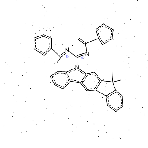 C=C(/N=C(\N=C(/C)c1ccccc1)n1c2ccccc2c2cc3c(cc21)C(C)(C)c1ccccc1-3)c1ccccc1